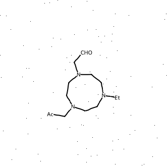 CCN1CCN(CC=O)CCN(CC(C)=O)CC1